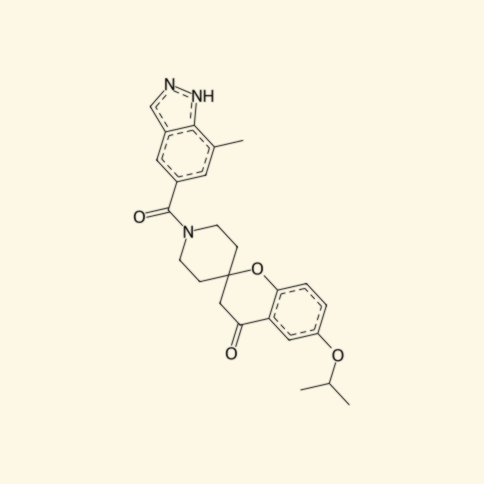 Cc1cc(C(=O)N2CCC3(CC2)CC(=O)c2cc(OC(C)C)ccc2O3)cc2cn[nH]c12